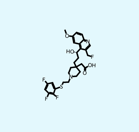 COc1ccc2ncc(CF)c([C@@H](O)CCC3(CC(=O)O)CCN(CCSc4cc(F)cc(F)c4F)CC3)c2c1